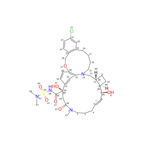 CN1CCC/C=C/[C@H](O)[C@@H]2CC[C@H]2CN2CCCCc3cc(Cl)ccc3COc3ccc(cc32)[C@@](O)(C(=O)NS(=O)(=O)N(C)C)CC1=O